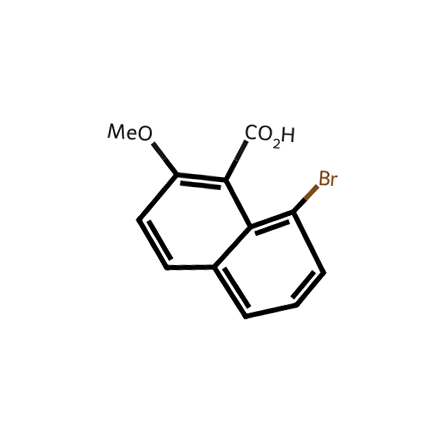 COc1ccc2cccc(Br)c2c1C(=O)O